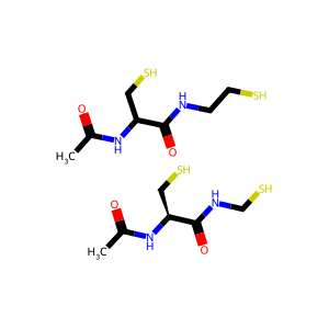 CC(=O)NC(CS)C(=O)NCCS.CC(=O)N[C@@H](CS)C(=O)NCS